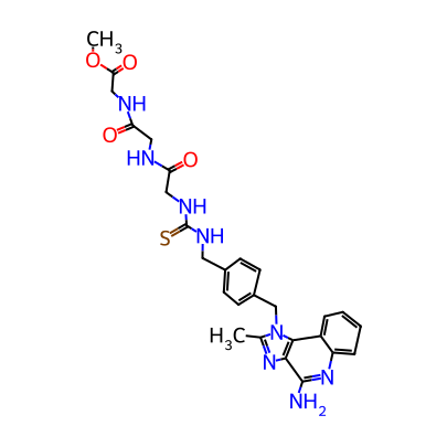 COC(=O)CNC(=O)CNC(=O)CNC(=S)NCc1ccc(Cn2c(C)nc3c(N)nc4ccccc4c32)cc1